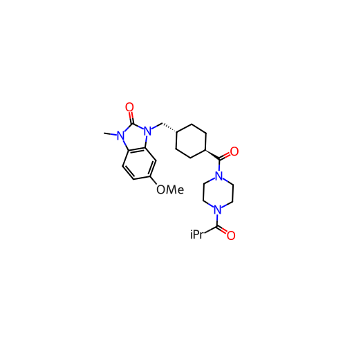 COc1ccc2c(c1)n(C[C@H]1CC[C@H](C(=O)N3CCN(C(=O)C(C)C)CC3)CC1)c(=O)n2C